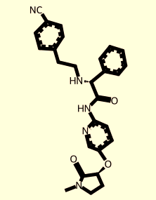 CN1CC[C@H](Oc2ccc(NC(=O)[C@H](NCCc3ccc(C#N)cc3)c3ccccc3)nc2)C1=O